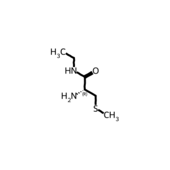 CCNC(=O)[C@@H](N)CSC